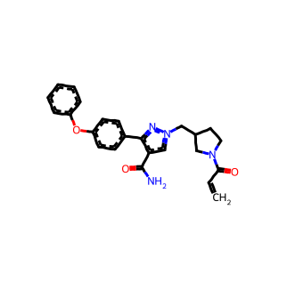 C=CC(=O)N1CCC(Cn2cc(C(N)=O)c(-c3ccc(Oc4ccccc4)cc3)n2)C1